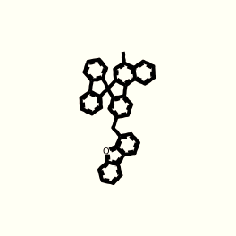 Cc1cc2c(c3ccccc13)-c1ccc(Cc3cccc4c3oc3ccccc34)cc1C21c2ccccc2-c2ccccc21